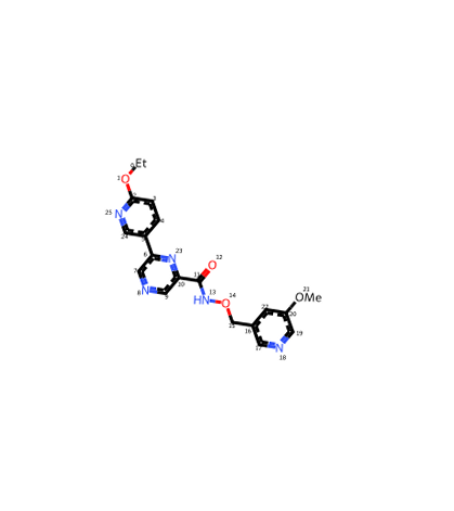 CCOc1ccc(-c2cncc(C(=O)NOCc3cncc(OC)c3)n2)cn1